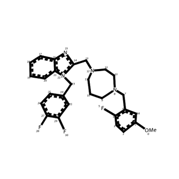 COc1ccc(F)c(CN2CCCN(Cc3nc4ccccc4n3Cc3ccc(F)c(F)c3)CC2)c1